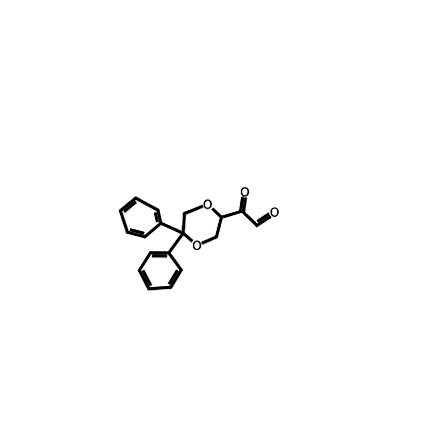 O=CC(=O)C1COC(c2ccccc2)(c2ccccc2)CO1